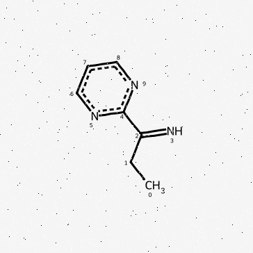 CCC(=N)c1ncccn1